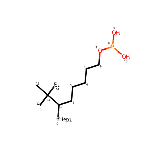 CCCCCCCC(CCCCCOP(O)O)C(C)(C)CC